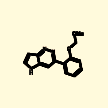 COCOc1ccccc1-c1cc2[nH]ccc2nn1